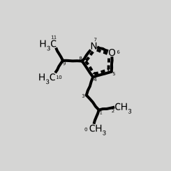 CC(C)Cc1conc1C(C)C